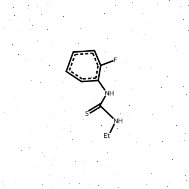 CCNC(=S)Nc1ccccc1F